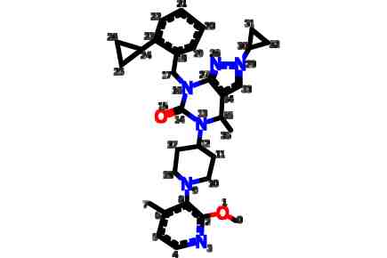 COc1nccc(C)c1N1CCC(N2C(=O)N(Cc3ccccc3C3CC3)c3nn(C4CC4)cc3C2C)CC1